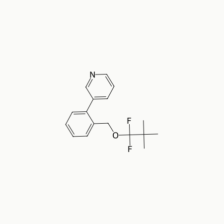 CC(C)(C)C(F)(F)OCc1ccccc1-c1cccnc1